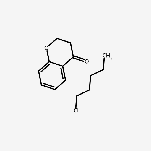 CCCCCCl.O=C1CCOc2ccccc21